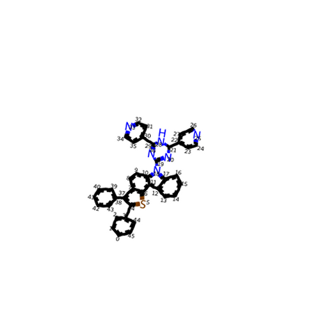 c1ccc(-c2sc3c(ccc4c3c3ccccc3n4C3=NC(c4ccncc4)NC(c4ccncc4)=N3)c2-c2ccccc2)cc1